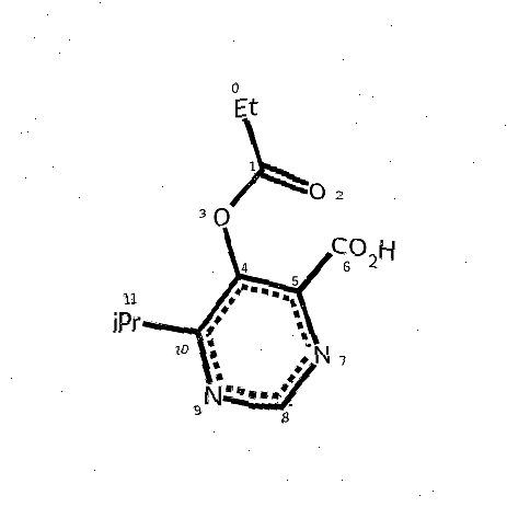 CCC(=O)Oc1c(C(=O)O)n[c]nc1C(C)C